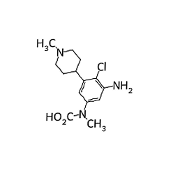 CN1CCC(c2cc(N(C)C(=O)O)cc(N)c2Cl)CC1